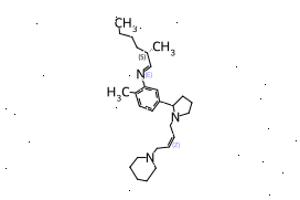 CCCC[C@H](C)/C=N/c1cc(C2CCCN2C/C=C\CN2CCCCC2)ccc1C